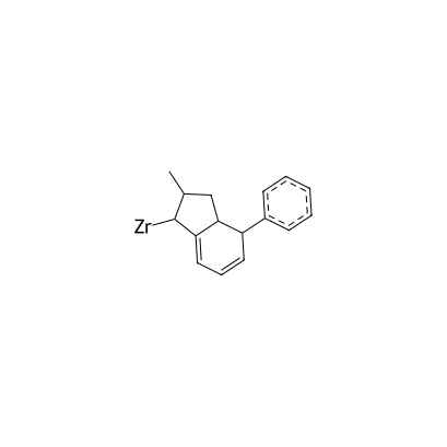 CC1CC2C(=CC=CC2c2ccccc2)[CH]1[Zr]